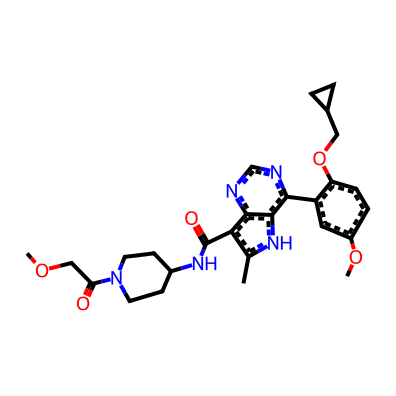 COCC(=O)N1CCC(NC(=O)c2c(C)[nH]c3c(-c4cc(OC)ccc4OCC4CC4)ncnc23)CC1